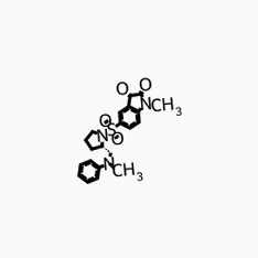 CN(C[C@@H]1CCCN1S(=O)(=O)c1ccc2c(c1)C(=O)C(=O)N2C)c1ccccc1